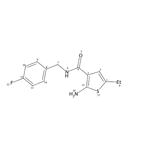 CCc1cc(C(=O)NCc2ccc(F)cc2)c(N)s1